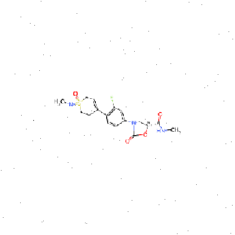 CN=S1(=O)CC=C(c2ccc(N3C[C@H](C(=O)NC)OC3=O)cc2F)CC1